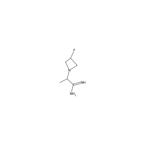 CC(C(=N)N)N1CC(F)C1